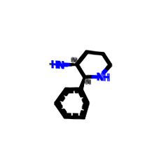 [NH][C@H]1CCCN[C@H]1c1ccccc1